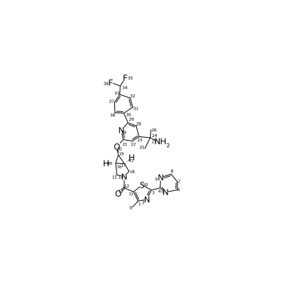 Cc1nc(-c2ncccn2)sc1C(=O)N1C[C@@H]2[C@H](C1)[C@@H]2Oc1cc(C(C)(C)N)cc(-c2ccc(C(F)F)cc2)n1